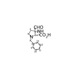 O=CC1(NC(=O)O)CCN(Cc2ccccc2)C1